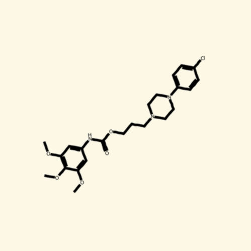 COc1cc(NC(=O)OCCCN2CCN(c3ccc(Cl)cc3)CC2)cc(OC)c1OC